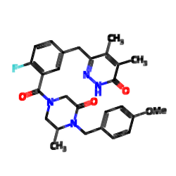 COc1ccc(CN2C(=O)CN(C(=O)c3cc(Cc4n[nH]c(=O)c(C)c4C)ccc3F)CC2C)cc1